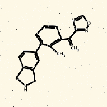 C=C(c1ncon1)c1cccc(-c2ccc3c(c2)CNC3)c1C